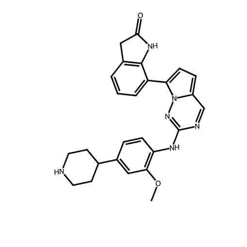 COc1cc(C2CCNCC2)ccc1Nc1ncc2ccc(-c3cccc4c3NC(=O)C4)n2n1